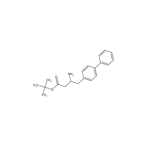 CC(C)(C)OC(=O)CC(N)Cc1ccc(-c2ccccc2)cc1